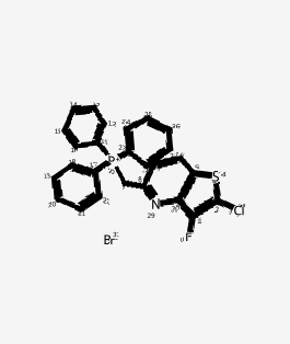 Fc1c(Cl)sc2ccc(C[P+](c3ccccc3)(c3ccccc3)c3ccccc3)nc12.[Br-]